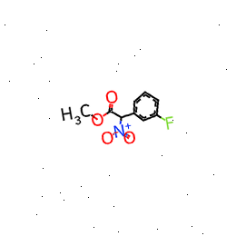 COC(=O)C(c1cccc(F)c1)[N+](=O)[O-]